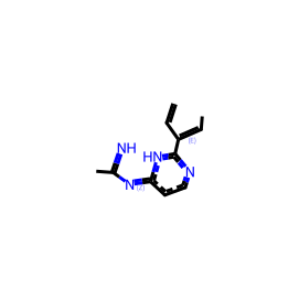 C=C/C(=C\C)c1ncc/c(=N/C(C)=N)[nH]1